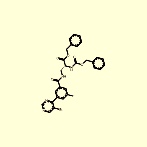 CCc1cncnc1-c1cc(F)cc(C(=O)NC[C@@H](NC(=O)OCc2ccccc2)C(=O)OCc2ccccc2)c1